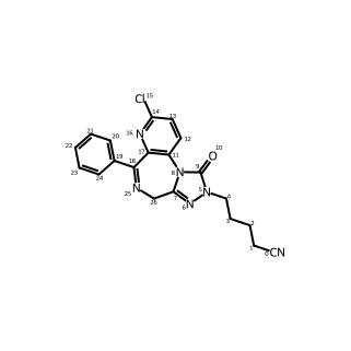 N#CCCCCn1nc2n(c1=O)-c1ccc(Cl)nc1C(c1ccccc1)=NC2